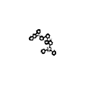 c1ccc(-c2nc(-c3ccccc3)nc(-c3ccc4c5c(cccc35)-c3c(cccc3-c3cccc(-n5c6ccccc6c6cc7ccccc7cc65)c3)O4)n2)cc1